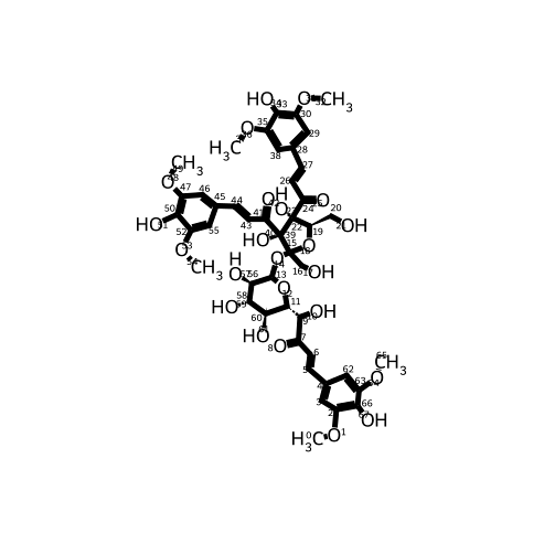 COc1cc(C=CC(=O)C(O)[C@H]2OC(OC3(CO)O[C@H](CO)[C@](O)(C(=O)C=Cc4cc(OC)c(O)c(OC)c4)[C@@]3(O)C(=O)C=Cc3cc(OC)c(O)c(OC)c3)[C@H](O)[C@@H](O)[C@@H]2O)cc(OC)c1O